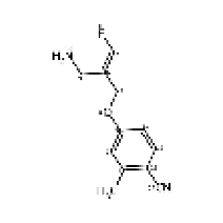 Cc1cc(OCC(=CF)CN)ccc1C#N